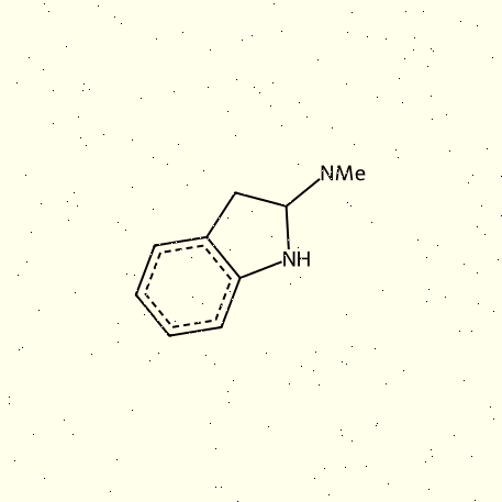 CNC1Cc2ccccc2N1